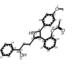 COc1ccc(C2NC(CC[C@@H](O)c3ccccc3)=C2c2ccccc2OC(C)=O)cc1